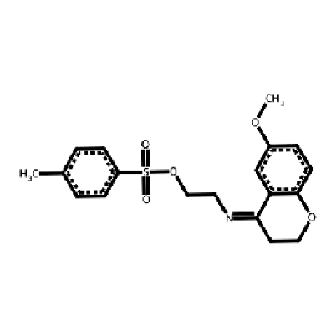 COc1ccc2c(c1)/C(=N\CCOS(=O)(=O)c1ccc(C)cc1)CCO2